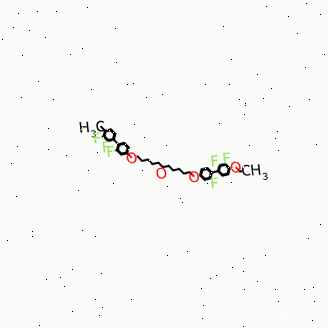 CCOc1ccc(-c2ccc(OCCCCCC(=O)CCCCCOc3ccc(-c4ccc(C)c(F)c4F)c(F)c3)cc2F)c(F)c1F